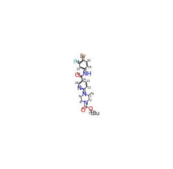 CC1CN(C(=O)OC(C)(C)C)CCN1c1ccc(C(=O)Nc2ccc(Br)c(F)c2)cn1